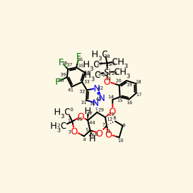 CC1(C)OC[C@H]2O[C@@]3(CCCO3)[C@H](OCc3ccccc3O[Si](C)(C)C(C)(C)C)[C@@H](n3cc(-c4cc(F)c(F)c(F)c4)nn3)[C@H]2O1